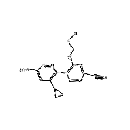 C#Cc1ccc(-c2nnc(NC)cc2C2CC2)c(OCOCC)c1